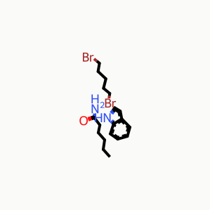 BrCCCCCBr.CCCCCC(N)=O.c1ccc2[nH]ccc2c1